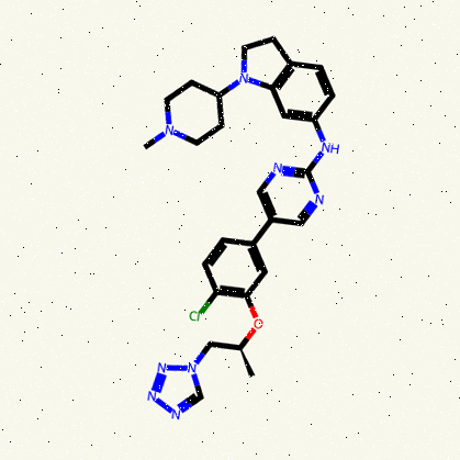 C[C@@H](Cn1cnnn1)Oc1cc(-c2cnc(Nc3ccc4c(c3)N(C3CCN(C)CC3)CC4)nc2)ccc1Cl